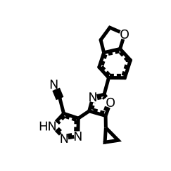 N#Cc1[nH]nnc1-c1nc(-c2ccc3c(c2)CCO3)oc1C1CC1